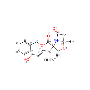 O=C/C=C1/O[C@@H]2CC(=O)N2C1(C/C=C/CO)C(=O)OCc1ccccc1